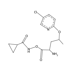 CC(CC(N)C(=O)ONC(=O)C1CC1)Oc1ccc(Cl)cn1